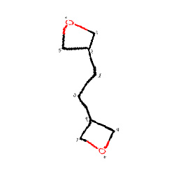 [CH](CC1COC1)C1COC1